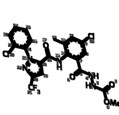 COC(=O)NNC(=O)c1cc(Cl)cc(C)c1NC(=O)c1cc(C(F)(F)F)nn1-c1ccccc1Cl